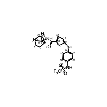 O=C(N[C@H]1CN2CCC1CC2)c1ccc(Sc2ccc(NS(=O)(=O)C(F)(F)F)cc2)s1